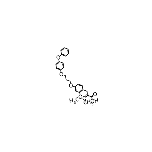 COc1cc(OCCCOc2ccc(Oc3ccccc3)cc2)ccc1C[C@H](OC)C(=O)O